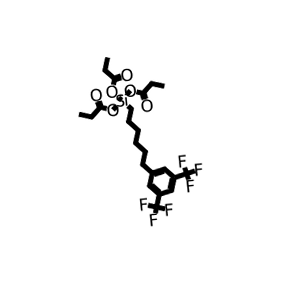 CCC(=O)O[Si](CCCCCCc1cc(C(F)(F)F)cc(C(F)(F)F)c1)(OC(=O)CC)OC(=O)CC